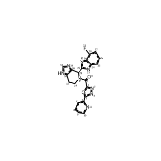 O=C(c1nnc(-c2ccccn2)o1)N1CCc2[nH]cnc2[C@H]1c1nc2cccc(F)c2s1